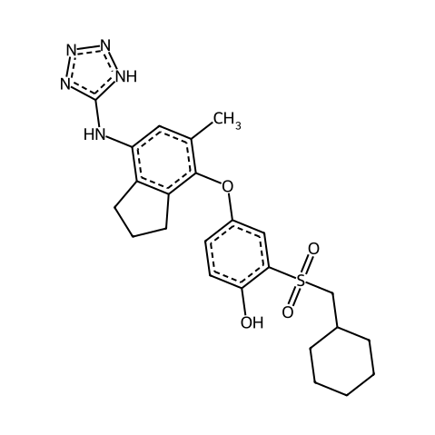 Cc1cc(Nc2nnn[nH]2)c2c(c1Oc1ccc(O)c(S(=O)(=O)CC3CCCCC3)c1)CCC2